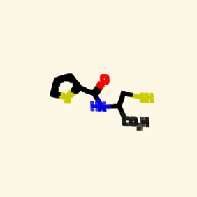 O=C(NC(CS)C(=O)O)c1cccs1